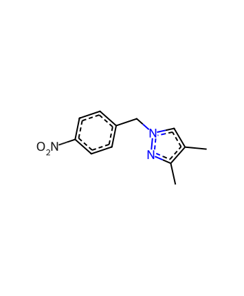 Cc1cn(Cc2ccc([N+](=O)[O-])cc2)nc1C